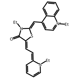 CCN1C=CC=C/C1=C\C=c1/s/c(=C\c2cc[n+](CC)c3ccccc23)n(CC)c1=O